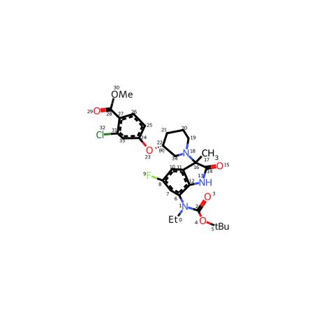 CCN(C(=O)OC(C)(C)C)c1cc(F)cc2c1NC(=O)C2(C)N1CCC[C@@H](Oc2ccc(C(=O)OC)c(Cl)c2)C1